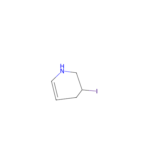 IC1CC=CNC1